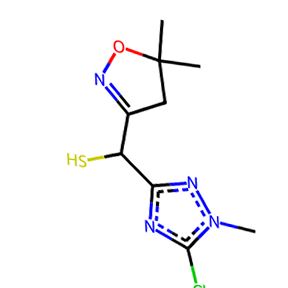 Cn1nc(C(S)C2=NOC(C)(C)C2)nc1Cl